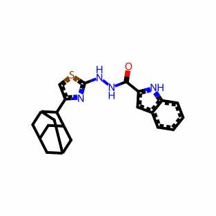 O=C(NNc1nc(C2C3CC4CC(C3)CC2C4)cs1)c1cc2ccccc2[nH]1